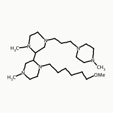 COCCCCCCN1CCN(C)CC1C1CN(CCCN2CCN(C)CC2)CCN1C